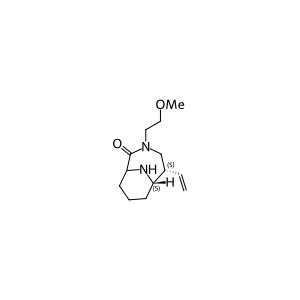 C=C[C@H]1CN(CCOC)C(=O)C2CCC[C@@H]1N2